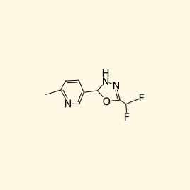 Cc1ccc(C2NN=C(C(F)F)O2)cn1